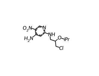 CC(C)OC(CCl)CNc1cc(N)c([N+](=O)[O-])cn1